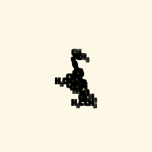 CN(C)CC#Cc1ccc(-c2cnc(NC(=O)OC(C)(C)C)n2C(=O)OC(C)(C)C)cc1